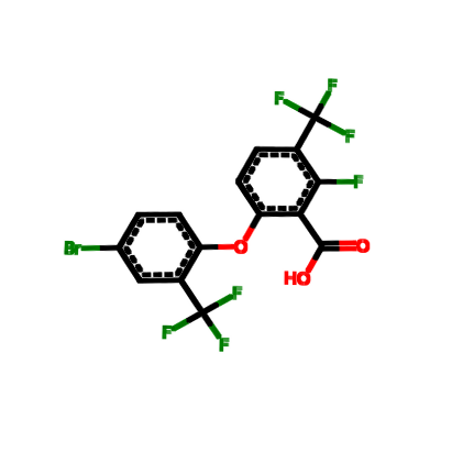 O=C(O)c1c(Oc2ccc(Br)cc2C(F)(F)F)ccc(C(F)(F)F)c1F